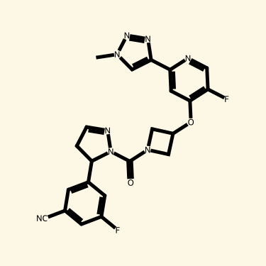 Cn1cc(-c2cc(OC3CN(C(=O)N4N=CCC4c4cc(F)cc(C#N)c4)C3)c(F)cn2)nn1